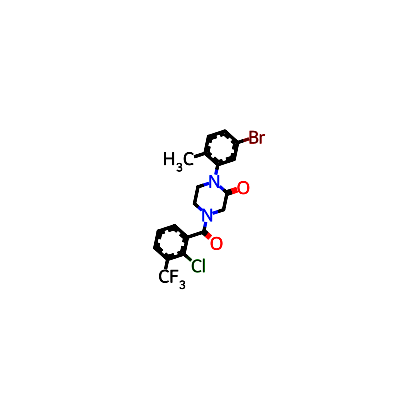 Cc1ccc(Br)cc1N1CCN(C(=O)c2cccc(C(F)(F)F)c2Cl)CC1=O